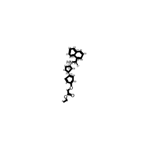 CCOC(=O)COc1ccc([C@H]2CC[C@H](N[C@H](C)c3cccc4ccccc34)C2)cc1